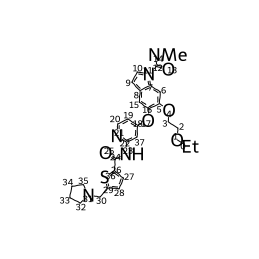 CCOCCOc1cc2c(ccn2C(=O)NC)cc1Oc1ccnc(NC(=O)c2ccc(CN3CCCC3)s2)c1